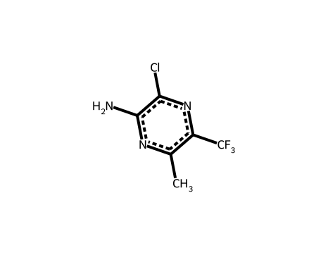 Cc1nc(N)c(Cl)nc1C(F)(F)F